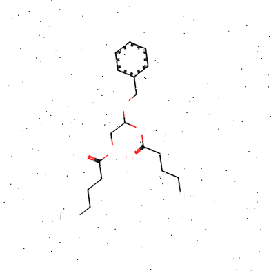 CCCCCCCCCCCCCC(=O)OCC(OCc1ccccc1)OC(=O)CCCCCCCCCCCCC